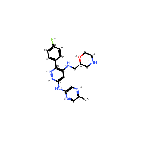 N#Cc1cnc(Nc2cc(NC[C@@H]3CNCCO3)c(-c3ccc(F)cc3)nn2)cn1